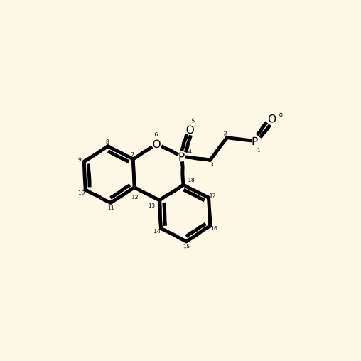 O=PCCP1(=O)Oc2ccccc2-c2ccccc21